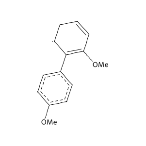 COC1=C(c2ccc(OC)cc2)[CH]CC=C1